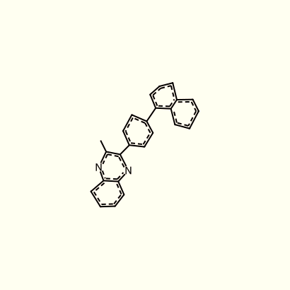 Cc1nc2ccccc2nc1-c1ccc(-c2cccc3ccccc23)cc1